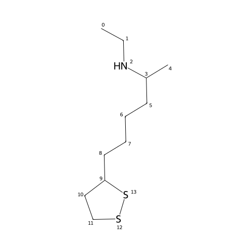 CCNC(C)CCCCC1CCSS1